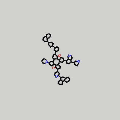 C1=CCN(c2cc3oc4c(-c5ccnc(-c6cc7ccccc7c7ccccc67)c5)ccc5c6cc(-c7ccc(-c8cccnc8)c8ccncc78)cc7oc8c(-c9cccc(-c%10ccc(-c%11cccc%12ccccc%11%12)cc%10)c9)ccc(c(c2)c3c45)c8c76)C=C1